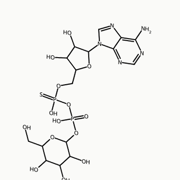 Nc1ncnc2c1ncn2C1OC(COP(O)(=S)OP(=O)(O)OC2OC(CO)C(O)C(O)C2O)C(O)C1O